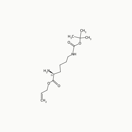 C=CCOC(=O)[C@@H](N)CCCCNC(=O)OC(C)(C)C